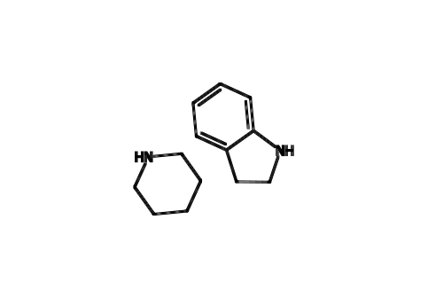 C1CCNCC1.c1ccc2c(c1)CCN2